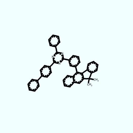 CC1(C)c2ccccc2-c2c1cc1ccccc1c2-c1cccc(-c2nc(-c3ccccc3)nc(-c3ccc(-c4ccccc4)cc3)n2)c1